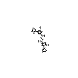 c1csc(-c2cc(NCCNc3cc(-c4cccs4)[nH]n3)n[nH]2)c1